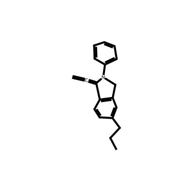 C=C=C1c2ccc(CCC)cc2CN1c1ccccc1